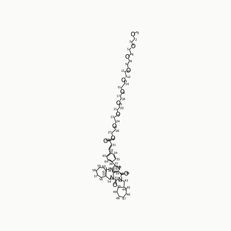 COCCOCCOCCOCCOCCOCCOCCOCCOCCOC(=O)/C=C/c1ccc(-c2nc3c(=O)n(CC4CCCCCC4)c(=O)n(CC4CCCCCC4)c3[nH]2)cc1